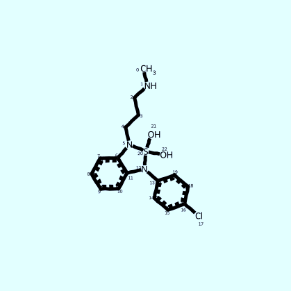 CNCCCN1c2ccccc2N(c2ccc(Cl)cc2)S1(O)O